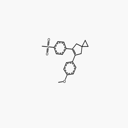 COc1ccc(C2=C(c3ccc(S(C)(=O)=O)cc3)CC3(CC3)C2)cc1